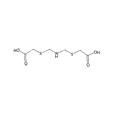 O=C(O)CSCNCSCC(=O)O